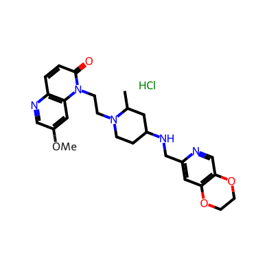 COc1cnc2ccc(=O)n(CCN3CCC(NCc4cc5c(cn4)OCCO5)CC3C)c2c1.Cl